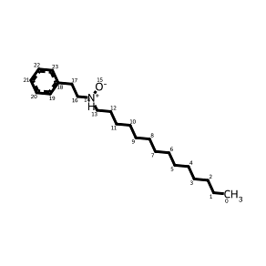 CCCCCCCCCCCCCC[NH+]([O-])CCc1ccccc1